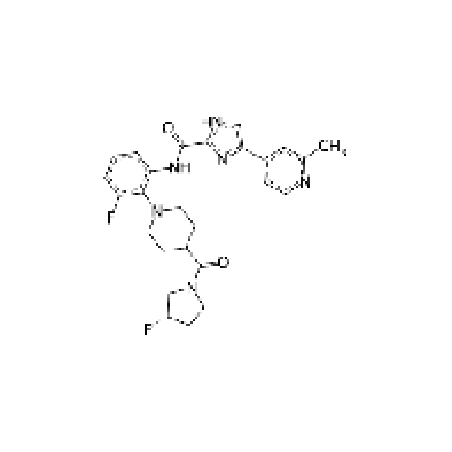 Cc1cc(-c2c[nH]c(C(=O)Nc3cccc(F)c3N3CCC(C(=O)N4CC[C@H](F)C4)CC3)n2)ccn1